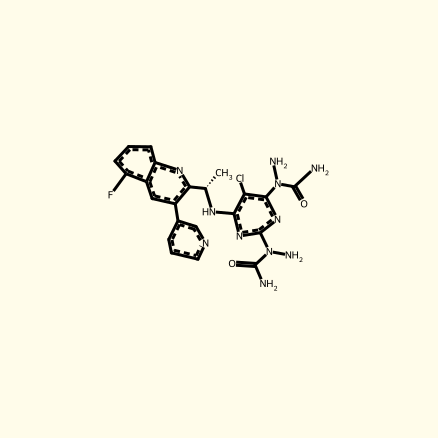 C[C@H](Nc1nc(N(N)C(N)=O)nc(N(N)C(N)=O)c1Cl)c1nc2cccc(F)c2cc1-c1cccnc1